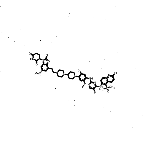 CCOc1cc(N2CCC(N3CCN(CCc4cc(OC)cc5c4oc(=O)n5C4CCC(=O)NC4=O)CC3)CC2)c(CC)cc1Nc1ncc(Br)c(Nc2ccc3nc(CC)ccc3c2P(C)(C)=O)n1